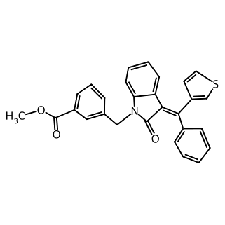 COC(=O)c1cccc(CN2C(=O)/C(=C(\c3ccccc3)c3ccsc3)c3ccccc32)c1